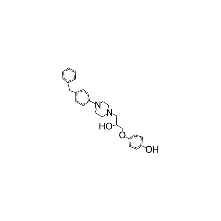 Oc1ccc(OC[C@@H](O)CN2CCN(c3ccc(Cc4ccccc4)cc3)CC2)cc1